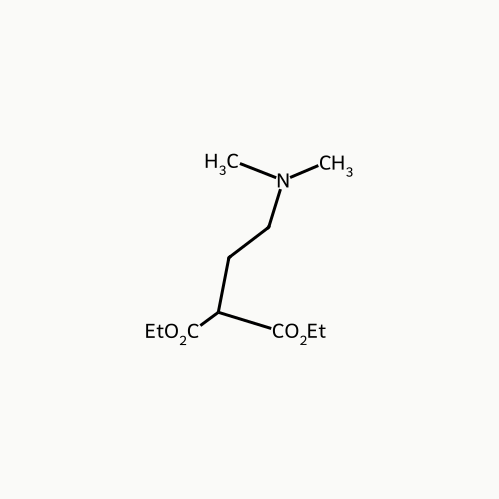 CCOC(=O)C(CCN(C)C)C(=O)OCC